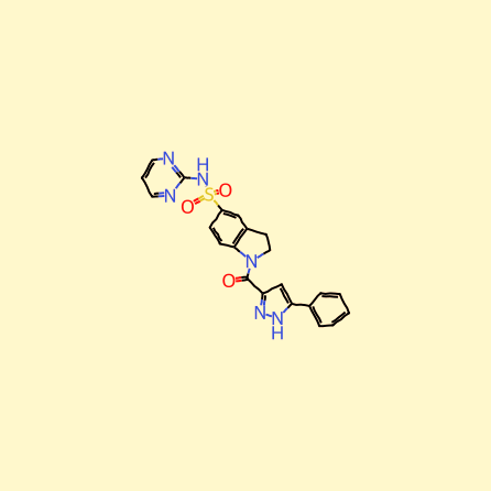 O=C(c1cc(-c2ccccc2)[nH]n1)N1CCc2cc(S(=O)(=O)Nc3ncccn3)ccc21